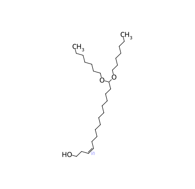 CCCCCCCOC(CCCCCCCCCC/C=C\CCO)OCCCCCCC